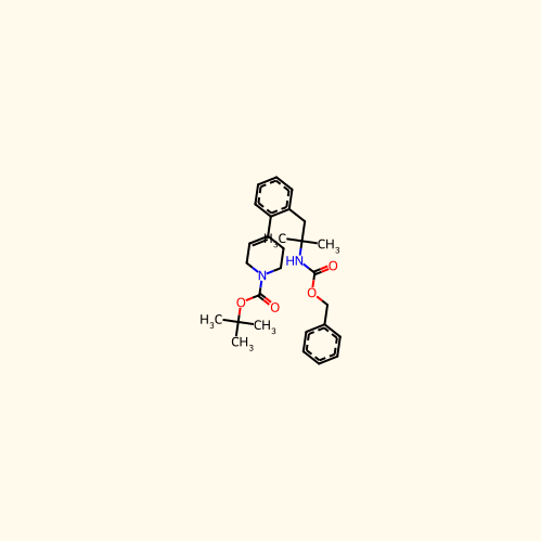 CC(C)(Cc1ccccc1C1=CCN(C(=O)OC(C)(C)C)CC1)NC(=O)OCc1ccccc1